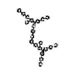 C1=CC(c2cccc(-c3ccc(-c4ccc(N(c5ccc(-c6ccc(-c7ccccc7)cc6)cc5)c5ccc(-c6ccc(-c7ccccc7)cc6)cc5)cc4-c4ccccc4)cc3)c2)CC=C1c1ccc(-c2ccc(N(c3ccc(-c4ccc(-c5ccccc5)cc4)cc3)c3ccc(-c4ccc(-c5ccc(-c6ccccc6)cc5)cc4)c(-c4ccccc4)c3)cc2)cc1